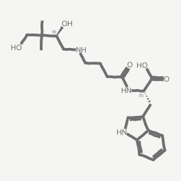 CC(C)(CO)[C@@H](O)CNCCCC(=O)N[C@@H](Cc1c[nH]c2ccccc12)C(=O)O